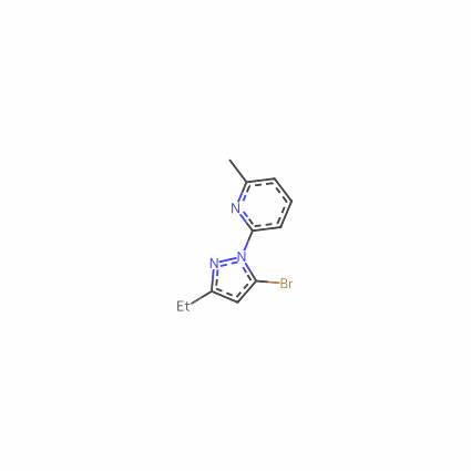 CCc1cc(Br)n(-c2cccc(C)n2)n1